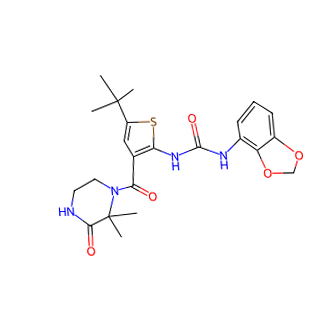 CC(C)(C)c1cc(C(=O)N2CCNC(=O)C2(C)C)c(NC(=O)Nc2cccc3c2OCO3)s1